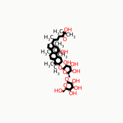 C[C@H](CCC(=O)C(C)(C)O)[C@H]1CC[C@@]2(C)C3CC=C4C(C)(C)[C@@H](O[C@@H]5O[C@H](CO[C@@H]6O[C@H](CO)[C@@H](O)[C@H](O)[C@H]6O)[C@@H](O)[C@H](O)[C@H]5O)CC[C@@]4(C)[C@]3(C)[C@H](O)C[C@]12C